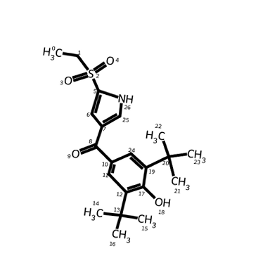 CCS(=O)(=O)c1cc(C(=O)c2cc(C(C)(C)C)c(O)c(C(C)(C)C)c2)c[nH]1